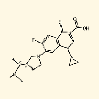 C[C@@H]([C@@H]1CCN(c2cc3c(cc2F)c(=O)c(C(=O)O)cn3C2CC2)C1)N(C)C